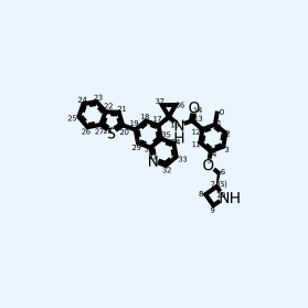 Cc1ccc(OC[C@@H]2CCN2)cc1C(=O)NC1(c2cc(-c3cc4ccccc4s3)cc3ncccc23)CC1